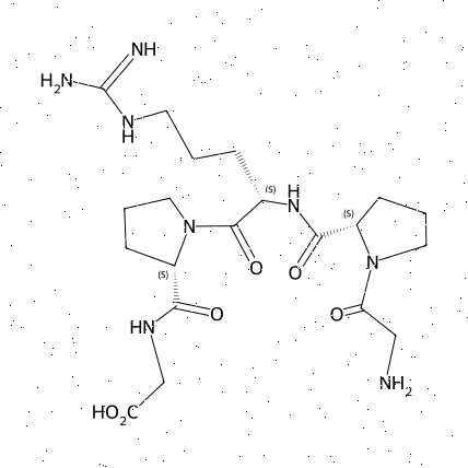 N=C(N)NCCC[C@H](NC(=O)[C@@H]1CCCN1C(=O)CN)C(=O)N1CCC[C@H]1C(=O)NCC(=O)O